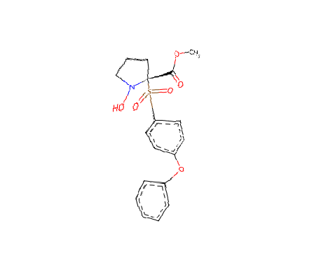 COC(=O)[C@]1(S(=O)(=O)c2ccc(Oc3ccccc3)cc2)CCCN1O